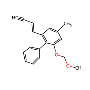 C#CC=Cc1cc(C)cc(OCOC)c1-c1ccccc1